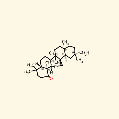 CC1(C)CCC(=O)[C@]2(C)[C@H]3CC=C4[C@@H]5C[C@@](C)(C(=O)O)CC[C@]5(C)CC[C@@]4(C)[C@]3(C)CC[C@@H]12